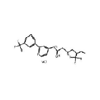 CCC(CNCC(O)Nc1ccnc(-c2cccc(C(F)(F)F)c2)c1)C(F)(F)F.Cl